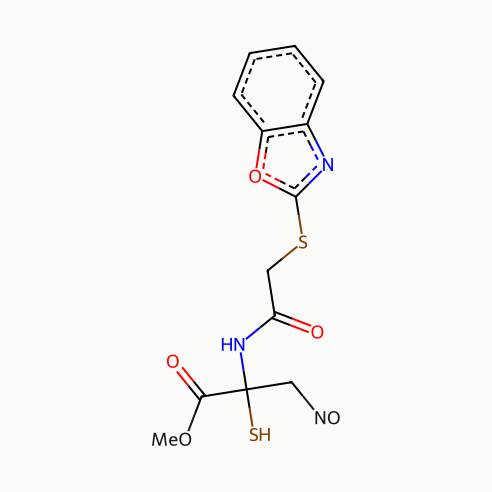 COC(=O)C(S)(CN=O)NC(=O)CSc1nc2ccccc2o1